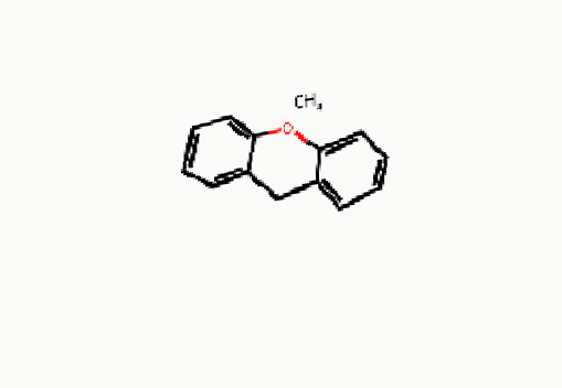 C.c1ccc2c(c1)Cc1ccccc1O2